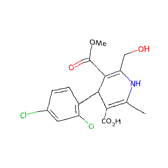 COC(=O)C1=C(CO)NC(C)=C(C(=O)O)C1c1ccc(Cl)cc1Cl